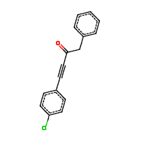 O=C(C#Cc1ccc(Cl)cc1)Cc1ccccc1